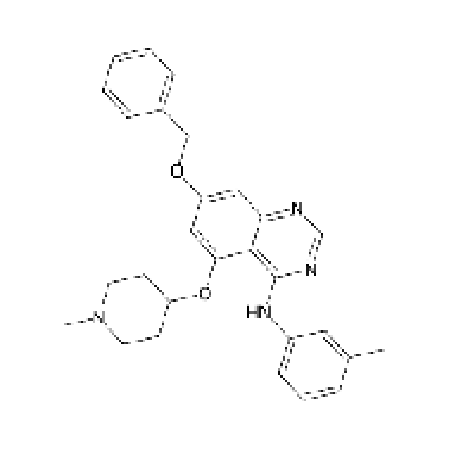 Cc1cccc(Nc2ncnc3cc(OCc4ccccc4)cc(OC4CCN(C)CC4)c23)c1